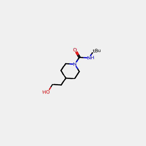 CC(C)(C)NC(=O)N1CCC(CCO)CC1